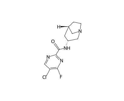 O=C(N[C@@H]1C[C@@H]2CCN(C2)C1)c1ncc(Cl)c(F)n1